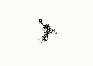 Cc1sc2ncn(CCCN3CCCC3)c(=O)c2c1C(=O)Nc1ccc(S(N)(=O)=O)nc1